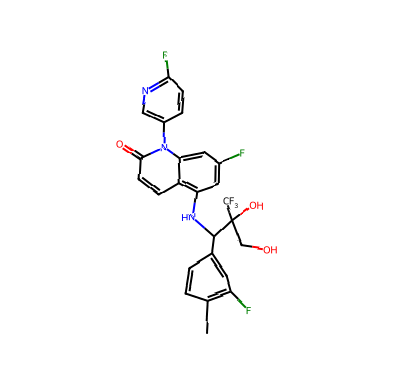 Cc1ccc(C(Nc2cc(F)cc3c2ccc(=O)n3-c2ccc(F)nc2)C(O)(CO)C(F)(F)F)cc1F